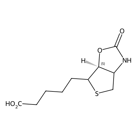 O=C(O)CCCCC1SCC2NC(=O)O[C@@H]21